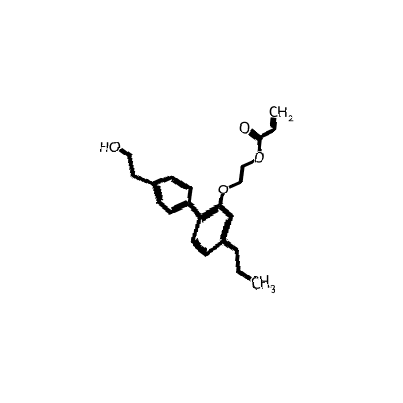 C=CC(=O)OCCOc1cc(CCC)ccc1-c1ccc(CCO)cc1